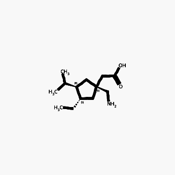 CC[C@H]1C[C@@](CN)(CC(=O)O)C[C@@H]1C(C)C